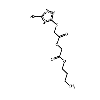 CCCCOC(=O)COC(=O)CSc1nnc(S)s1